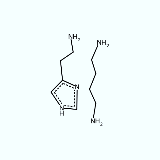 NCCCCN.NCCc1c[nH]cn1